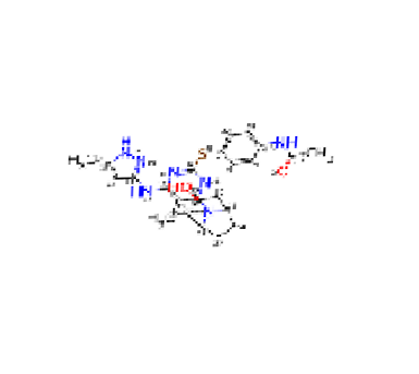 CC(=O)Nc1ccc(Sc2nc(Nc3cc(C)[nH]n3)c(C)c(N3C4CCC3CC(O)C4)n2)cc1